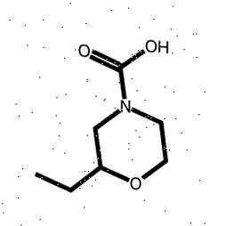 CCC1CN(C(=O)O)CCO1